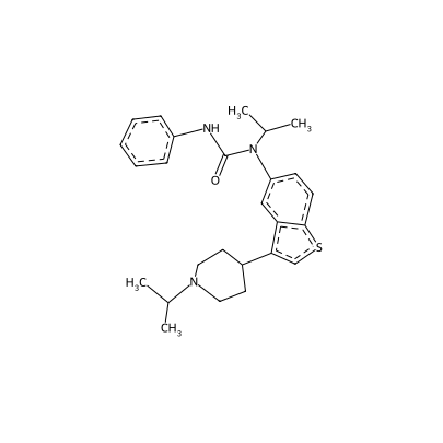 CC(C)N1CCC(c2csc3ccc(N(C(=O)Nc4ccccc4)C(C)C)cc23)CC1